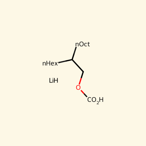 CCCCCCCCC(CCCCCC)COC(=O)O.[LiH]